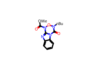 CCCCN1ON(C(=O)OC)c2nc3ccccc3n2C1=O